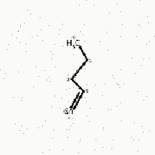 CCC[CH]=[Sn]